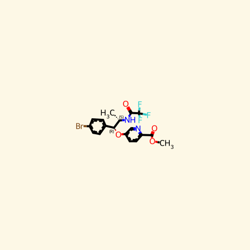 COC(=O)c1ccc(O[C@H](c2ccc(Br)cc2)[C@H](C)NC(=O)C(F)(F)F)cn1